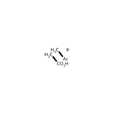 CC(=O)O.CC(C)=O.[Ir]